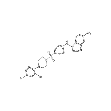 O=S(=O)(c1ccc(Nc2ccnc3cc(C(F)(F)F)ccc23)cc1)N1CCN(c2ncc(Br)cc2Br)CC1